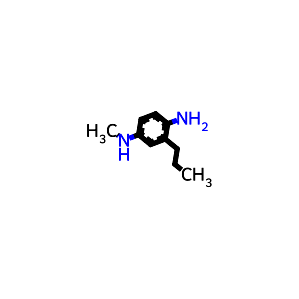 CCCc1cc(NC)ccc1N